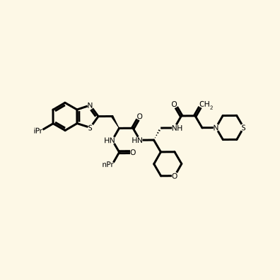 C=C(CN1CCSCC1)C(=O)NC[C@@H](NC(=O)[C@H](Cc1nc2ccc(C(C)C)cc2s1)NC(=O)CCC)C1CCOCC1